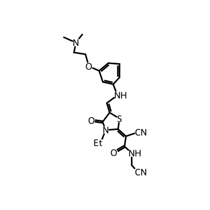 CCn1c(=C(C#N)C(=O)NCC#N)sc(=CNc2cccc(OCCN(C)C)c2)c1=O